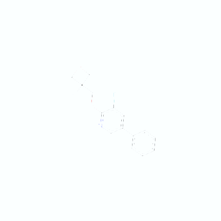 CC1(COc2ncc(-c3ccccc3)cc2F)COC1